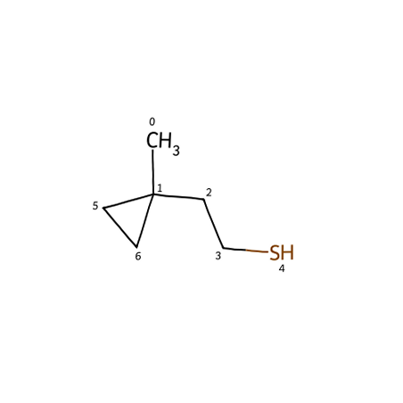 CC1(CCS)CC1